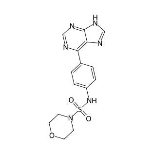 O=S(=O)(Nc1ccc(-c2ncnc3[nH]cnc23)cc1)N1CCOCC1